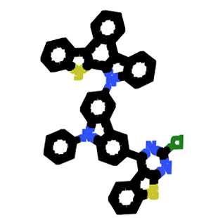 Clc1nc(-c2ccc3c(c2)c2cc(-n4c5ccccc5c5c6ccccc6c6c7ccccc7sc6c54)ccc2n3-c2ccccc2)c2c(n1)sc1ccccc12